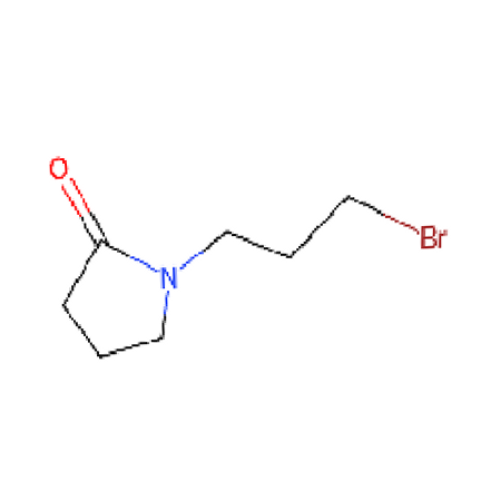 O=C1CCCN1CCCBr